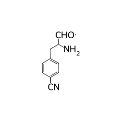 N#Cc1ccc(CC(N)[C]=O)cc1